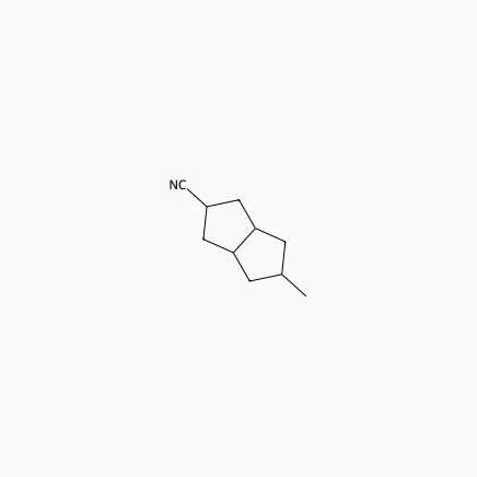 CC1CC2CC(C#N)CC2C1